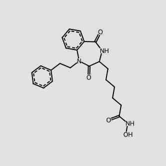 O=C(CCCCCC1NC(=O)c2ccccc2N(CCc2ccccc2)C1=O)NO